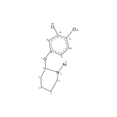 [CH2]C(=O)N1CCCCC1Oc1ccc(Cl)c(Cl)c1